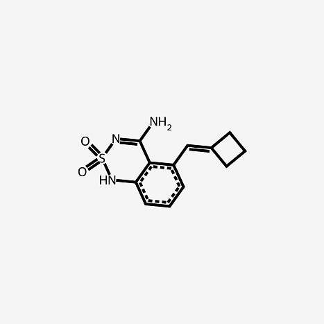 NC1=NS(=O)(=O)Nc2cccc(C=C3CCC3)c21